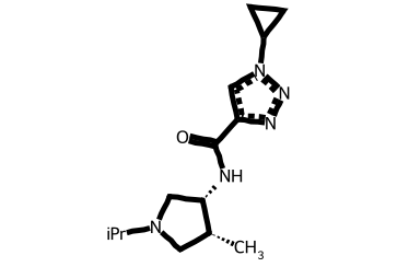 CC(C)N1C[C@@H](C)[C@@H](NC(=O)c2cn(C3CC3)nn2)C1